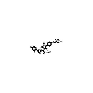 CO[C@H](C)C(c1ncc(-c2ccc(I)cc2F)[nH]1)N1C(=O)NC(c2ccc(OC[C@H](O)CO)cc2)C1=O